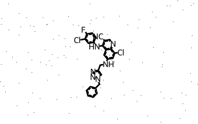 N#Cc1cnc2c(Cl)cc(NCc3cn(Cc4ccccc4)nn3)cc2c1Nc1ccc(F)c(Cl)c1